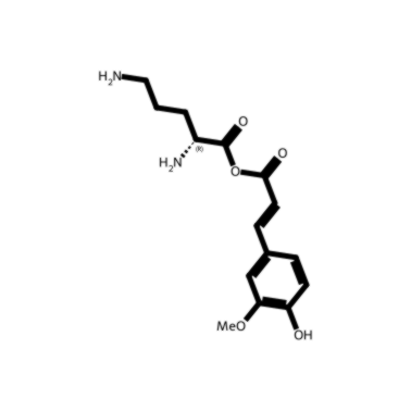 COc1cc(C=CC(=O)OC(=O)[C@H](N)CCCN)ccc1O